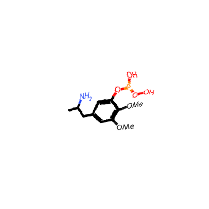 COc1cc(CC(C)N)cc(OP(O)OO)c1OC